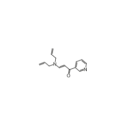 C=CCN(/C=C/C(=O)c1cccnc1)CC=C